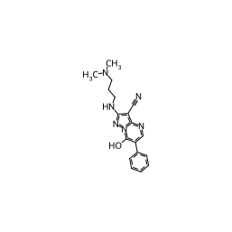 CN(C)CCCNc1nn2c(O)c(-c3ccccc3)cnc2c1C#N